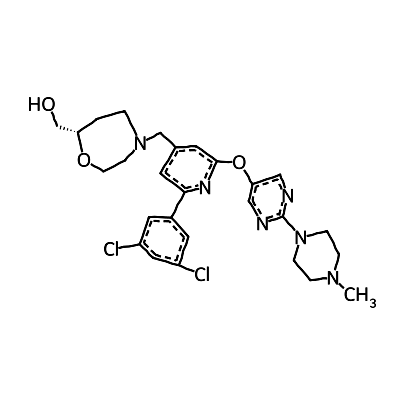 CN1CCN(c2ncc(Oc3cc(CN4CCO[C@H](CO)CC4)cc(-c4cc(Cl)cc(Cl)c4)n3)cn2)CC1